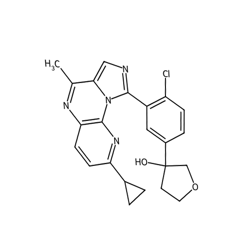 Cc1nc2ccc(C3CC3)nc2n2c(-c3cc(C4(O)CCOC4)ccc3Cl)ncc12